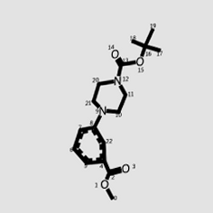 COC(=O)c1cccc(N2CCN(C(=O)OC(C)(C)C)CC2)c1